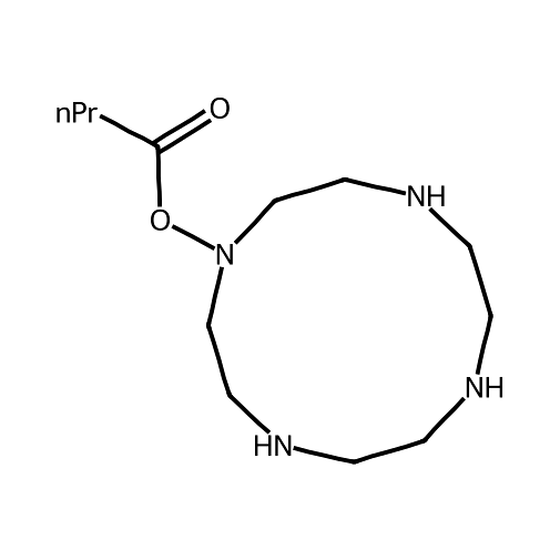 CCCC(=O)ON1CCNCCNCCNCC1